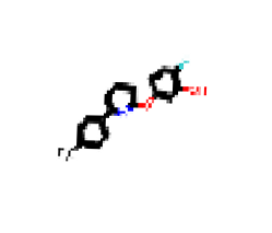 Oc1cc(Oc2cccc(-c3ccc(C(F)(F)F)cc3)n2)ccc1F